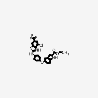 CCOC(=O)c1cc2cc(Oc3ccc(Nc4nc5cc(C(F)(F)F)cc(Cl)c5[nH]4)cc3)ccc2[nH]1